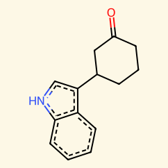 O=C1CCCC(c2c[nH]c3ccccc23)C1